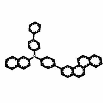 c1ccc(-c2ccc(N(c3ccc(-c4ccc5ccc6c7ccccc7ccc6c5c4)cc3)c3ccc4ccccc4c3)cc2)cc1